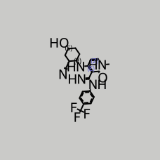 CN/C=C\C(N[C@@H]1CC[C@H](O)CC1C#N)=C(/C=O)C(=N)Nc1ccc(C(F)(F)F)cc1